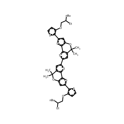 CCCCC(CC)COc1ccsc1-c1cc2c(s1)-c1sc(-c3cc4c(s3)-c3sc(-c5sccc5OCC(CC)CCCC)cc3OC4(C)C)cc1C(C)(C)O2